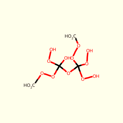 O=C(O)OOC(O)(OO)OC(OO)(OO)OOC(=O)O